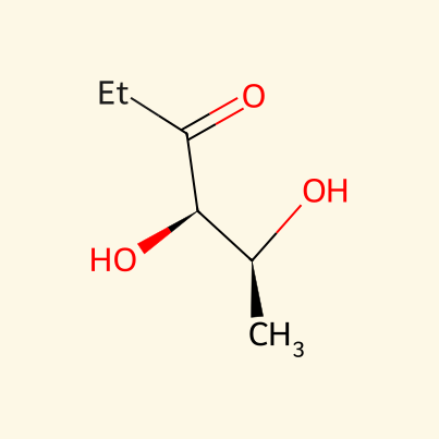 CCC(=O)[C@H](O)[C@H](C)O